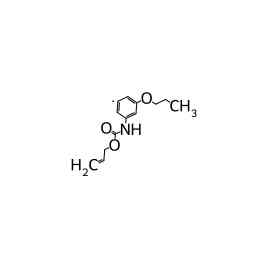 C=CCOC(=O)Nc1c[c]cc(OCCC)c1